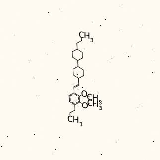 CCCc1ccc(/C=C/C2CCC(C3CCC(CCC)CC3)CC2)c(OC)c1OC